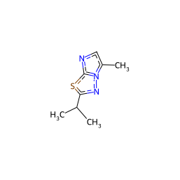 Cc1cnc2sc(C(C)C)nn12